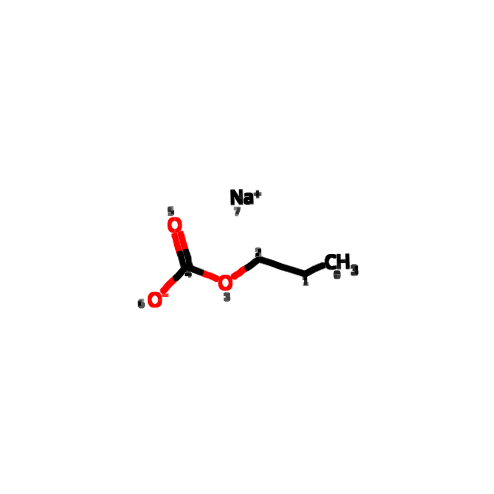 CCCOC(=O)[O-].[Na+]